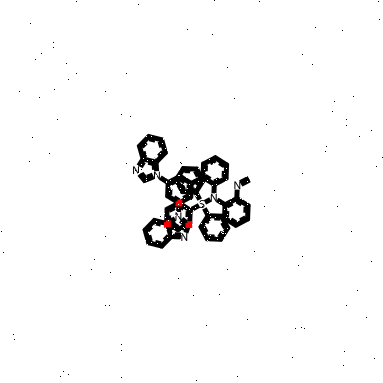 C=Nc1ccccc1N(c1ccccc1-c1cc(-n2cnc3ccccc32)cc(-n2cnc3ccccc32)c1)S(c1ccccc1)(c1ccccc1)c1ccccc1